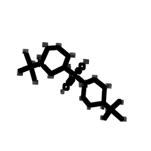 CC(C)(C)C1CCN(S(=O)(=O)C2CCCN(C(C)(C)C)C2)CC1